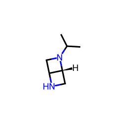 CC(C)N1CC2NC[C@H]21